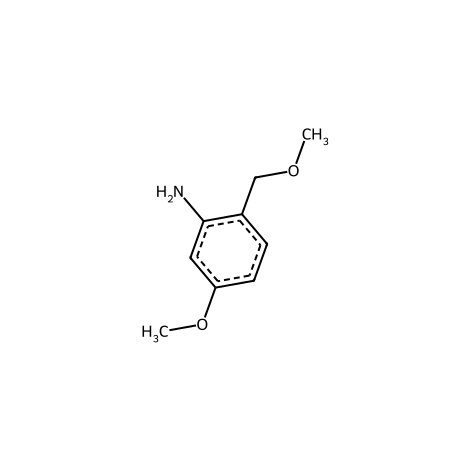 COCc1ccc(OC)cc1N